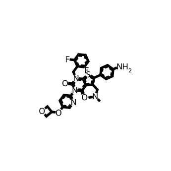 CN(C)Cc1c(-c2ccc(N)cc2)sc2c1c(=O)n(-c1ccc(OC3COC3)cn1)c(=O)n2Cc1c(F)cccc1F